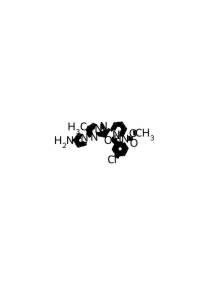 COC(=O)Nc1ccc(Cl)cc1C(=O)N1CCCC[C@H]1c1cc2nc(N3CC[C@H](N)C3)c(C)cn2n1